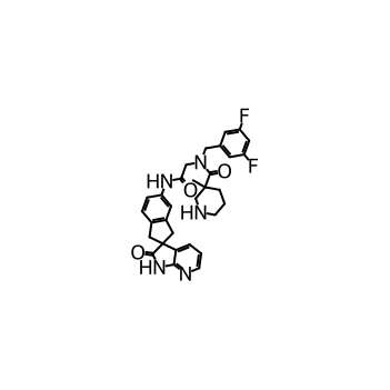 CC1(C(=O)N(CC(=O)Nc2ccc3c(c2)CC2(C3)C(=O)Nc3ncccc32)Cc2cc(F)cc(F)c2)CCCNC1